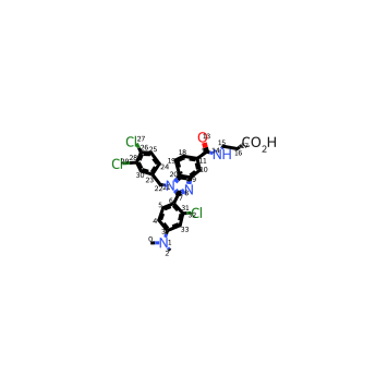 CN(C)c1ccc(-c2nc3cc(C(=O)NCCC(=O)O)ccc3n2Cc2ccc(Cl)c(Cl)c2)c(Cl)c1